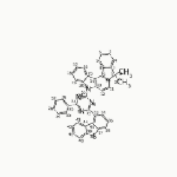 CC1(C)c2ccccc2-c2c1ccc1c2c2ccccc2n1-c1nc(-c2ccccc2)nc(-c2cccc3sc4ccccc4c23)n1